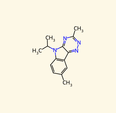 Cc1ccc2c(c1)c1nnc(C)nc1n2C(C)C